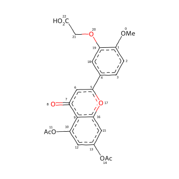 COc1ccc(-c2cc(=O)c3c(OC(C)=O)cc(OC(C)=O)cc3o2)cc1OCC(=O)O